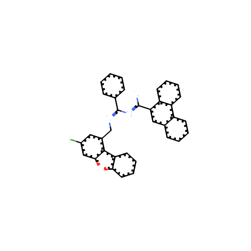 N/C(=N\C(=N/Cc1cc(Cl)cc2oc3ccccc3c12)c1ccccc1)c1cc2ccccc2c2ccccc12